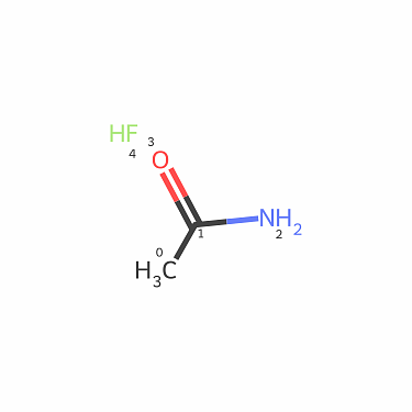 CC(N)=O.F